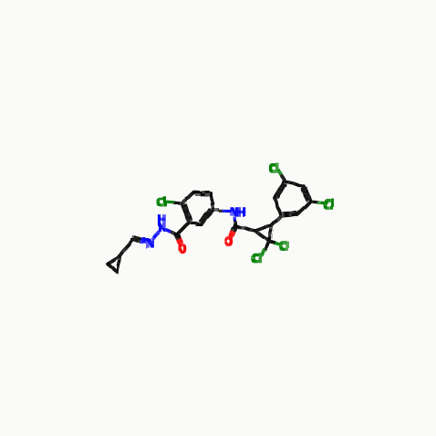 O=C(NN=CC1CC1)c1cc(NC(=O)C2C(c3cc(Cl)cc(Cl)c3)C2(Cl)Cl)ccc1Cl